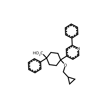 O=C(O)C1(c2ccccc2)CCC(OCC2CC2)(c2ccnc(-c3ccccc3)c2)CC1